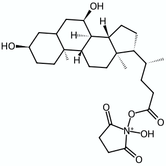 C[C@H](CCC(=O)O[N+]1(O)C(=O)CCC1=O)[C@H]1CC[C@H]2[C@@H]3[C@H](O)CC4C[C@H](O)CC[C@]4(C)[C@H]3CC[C@]12C